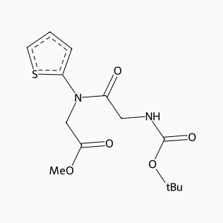 COC(=O)CN(C(=O)CNC(=O)OC(C)(C)C)c1cccs1